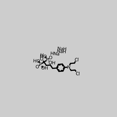 O=P(O)(O)C(O)(CCCc1ccc(N(CCCl)CCCl)cc1)P(=O)(O)O.[NaH].[NaH].[NaH]